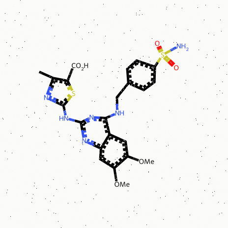 COc1cc2nc(Nc3nc(C)c(C(=O)O)s3)nc(NCc3ccc(S(N)(=O)=O)cc3)c2cc1OC